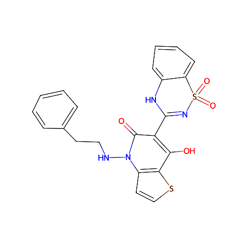 O=c1c(C2=NS(=O)(=O)c3ccccc3N2)c(O)c2sccc2n1NCCc1ccccc1